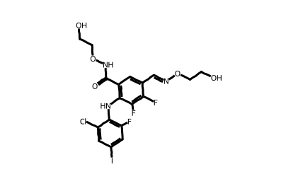 O=C(NOCCO)c1cc(C=NOCCO)c(F)c(F)c1Nc1c(F)cc(I)cc1Cl